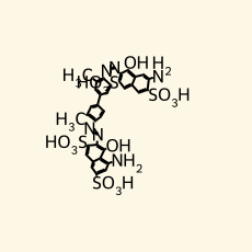 Cc1cc(-c2ccc(/N=N\c3c(S(=O)(=O)O)cc4cc(S(=O)(=O)O)c(N)cc4c3O)c(C)c2)ccc1N=Nc1c(S(=O)(=O)O)cc2cc(S(=O)(=O)O)cc(N)c2c1O